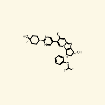 C[C@]1(O)CC[C@H](c2ncc(-c3cn4c5c(nc4cc3F)[C@H](O)C[C@@H]5c3ccccc3OC(F)F)cn2)CC1